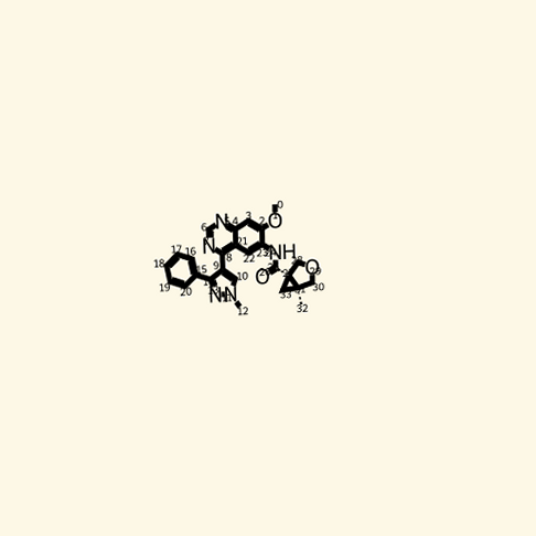 COc1cc2ncnc(-c3cn(C)nc3-c3ccccc3)c2cc1NC(=O)[C@]12COC[C@@]1(C)C2